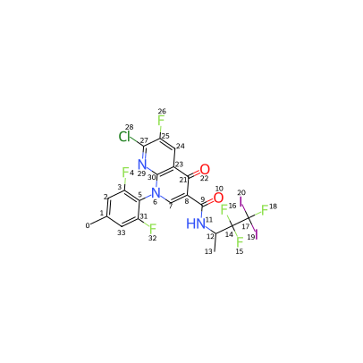 Cc1cc(F)c(-n2cc(C(=O)NC(C)C(F)(F)C(F)(I)I)c(=O)c3cc(F)c(Cl)nc32)c(F)c1